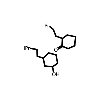 CC(C)CCC1CCCC(O)C1.CC(C)CCC1CCCCC1=O